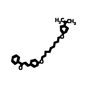 C=C(C)c1ccc(OCCCCCCCCCOc2ccc(C=CC(=O)c3ccccc3)cc2)cc1